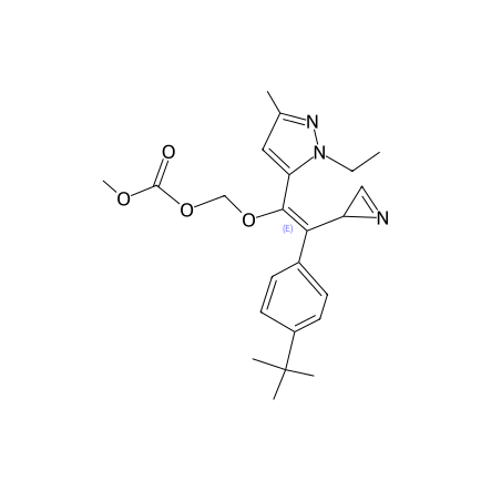 CCn1nc(C)cc1/C(OCOC(=O)OC)=C(/c1ccc(C(C)(C)C)cc1)C1C=N1